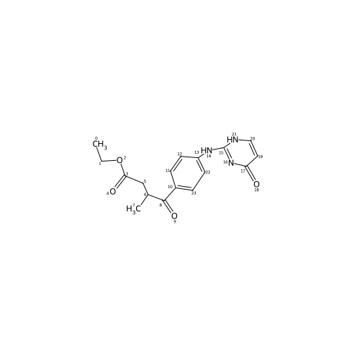 CCOC(=O)CC(C)C(=O)c1ccc(Nc2nc(=O)cc[nH]2)cc1